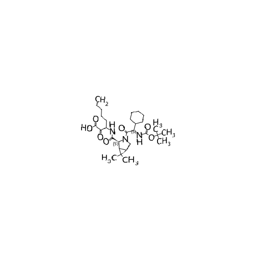 C=CCCCC(NC(=O)[C@@H]1C2C(CN1C(=O)[C@@H](NC(=O)OC(C)(C)C)C1CCCCC1)C2(C)C)C(=O)C(=O)O